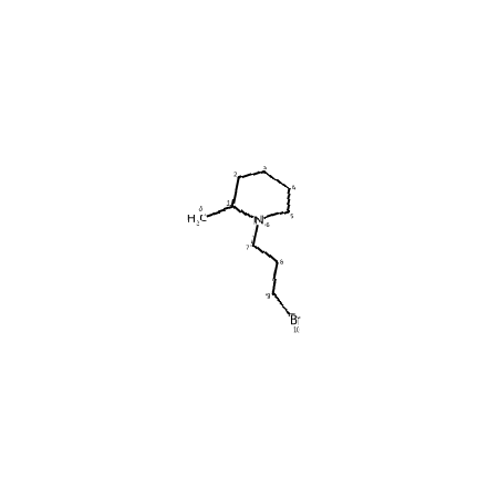 CC1CCCCN1CCCBr